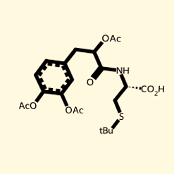 CC(=O)Oc1ccc(CC(OC(C)=O)C(=O)N[C@@H](CSC(C)(C)C)C(=O)O)cc1OC(C)=O